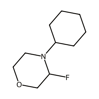 FC1COCCN1C1CCCCC1